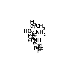 CC(C)[C@H](N)C(O)C(F)(F)C(=O)NCCC(F)(F)F